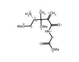 C=C(C(=O)NCC(=O)OC)C(C)(OC)[C@@H](N)COC